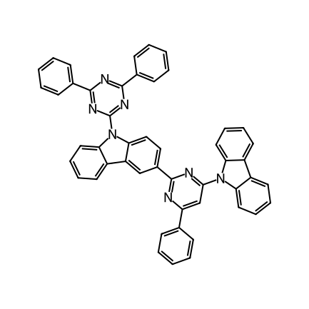 c1ccc(-c2cc(-n3c4ccccc4c4ccccc43)nc(-c3ccc4c(c3)c3ccccc3n4-c3nc(-c4ccccc4)nc(-c4ccccc4)n3)n2)cc1